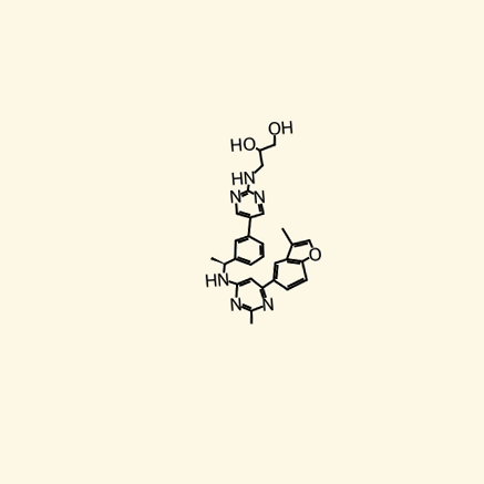 Cc1nc(N[C@@H](C)c2cccc(-c3cnc(NCC(O)CO)nc3)c2)cc(-c2ccc3occ(C)c3c2)n1